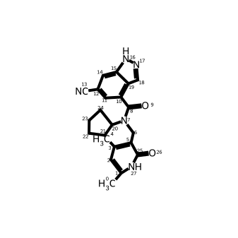 Cc1cc(C)c(CN(C(=O)c2cc(C#N)cc3[nH]ncc23)C2CCCC2)c(=O)[nH]1